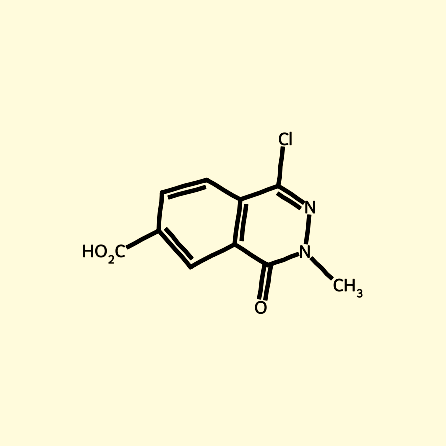 Cn1nc(Cl)c2ccc(C(=O)O)cc2c1=O